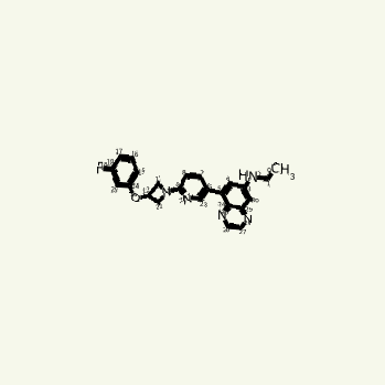 CCNc1cc(-c2ccc(N3CC(Oc4cccc(F)c4)C3)nc2)c2nccnc2c1